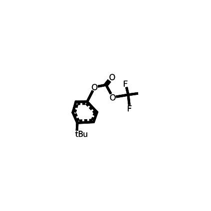 CC(F)(F)OC(=O)Oc1ccc(C(C)(C)C)cc1